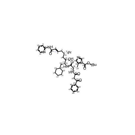 CC(C)[C@@H](C/C=C/C(=O)Nc1ccccn1)C[C@H](O)[C@H](CC1CCCCC1)NC(=O)[C@H](Cc1cncn1C(=O)OC(C)(C)C)NC(=O)[CH]C(=O)c1ccccc1